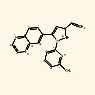 C=CC1C=C(c2ccc3nccnc3c2)N(c2cccc(C)n2)N1